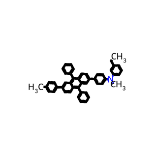 CCc1cccc(N(C)c2ccc(-c3ccc4c(-c5ccccc5)c5cc(-c6ccc(C)cc6)ccc5c(-c5ccccc5)c4c3)cc2)c1